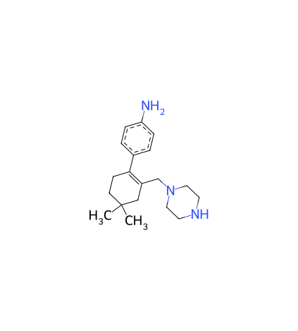 CC1(C)CCC(c2ccc(N)cc2)=C(CN2CCNCC2)C1